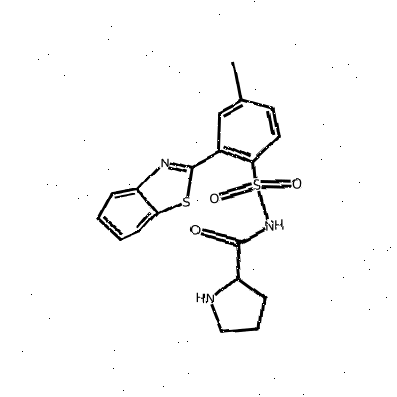 Cc1ccc(S(=O)(=O)NC(=O)C2CCCN2)c(-c2nc3ccccc3s2)c1